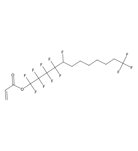 C=CC(=O)OC(F)(F)C(F)(F)C(F)(F)C(F)(F)C(F)CCCCCCC(F)(F)F